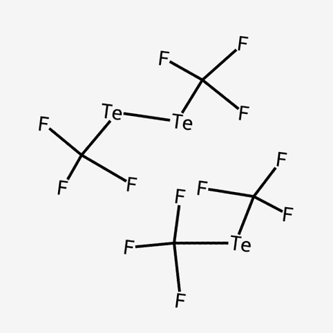 FC(F)(F)[Te]C(F)(F)F.FC(F)(F)[Te][Te]C(F)(F)F